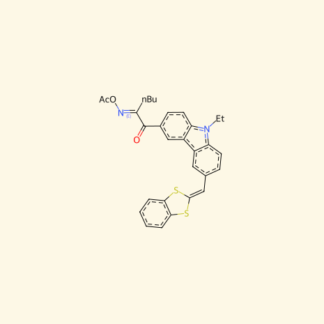 CCCC/C(=N\OC(C)=O)C(=O)c1ccc2c(c1)c1cc(C=C3Sc4ccccc4S3)ccc1n2CC